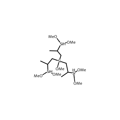 CO[SiH](OC)C(C)C[Si](CC(C)[SiH](OC)OC)(CC(C)[SiH](OC)OC)OC